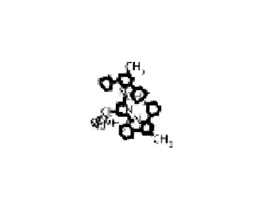 CC(=Nc1c(C2CCCCC2)cc(C)cc1C1CCCCC1)c1cc(Cl)cc(C(C)=Nc2c(C3CCCCC3)cc(C)cc2C2CCCCC2)n1.[Cl-].[Cl-].[Cl-].[Nd+3]